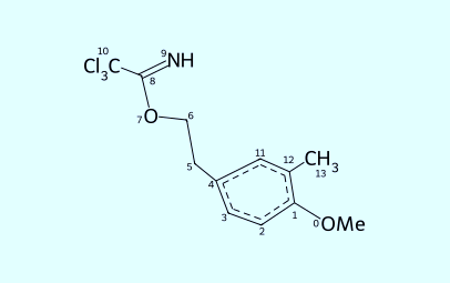 COc1ccc(CCOC(=N)C(Cl)(Cl)Cl)cc1C